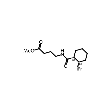 COC(=O)CCCNC(=O)[C@H]1CCCC[C@H]1C(C)C